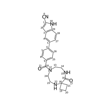 N#Cc1cc2cc(-c3ccc(C(=O)N4CCNC(=O)C5(CCC5)NCC4)cc3)ccc2[nH]1